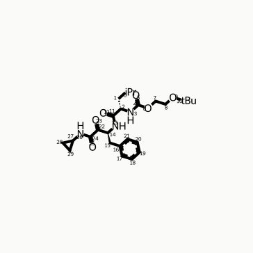 CC(C)C[C@H](NC(=O)OCCOC(C)(C)C)C(=O)N[C@@H](Cc1ccccc1)C(=O)C(=O)NC1CC1